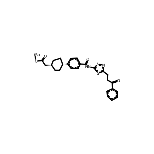 CC(C)(C)OC(=O)C[C@H]1CC[C@H](c2ccc(C(=O)Nc3nnc(CCC(=O)c4ccccc4)s3)cc2)CC1